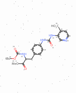 COC(=O)C(Cc1ccc(NC(=O)Nc2cnccc2C(=O)O)cc1)NC(=O)OC(C)(C)C